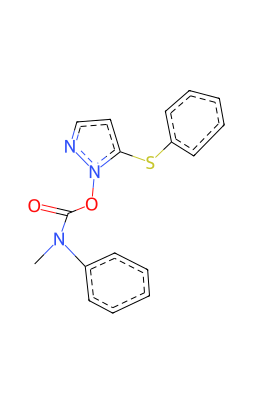 CN(C(=O)On1nccc1Sc1ccccc1)c1ccccc1